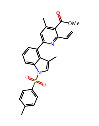 C=Cc1nc(-c2cccc3c2c(C)cn3S(=O)(=O)c2ccc(C)cc2)cc(C)c1C(=O)OC